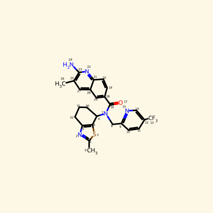 Cc1nc2c(s1)C(N(Cc1ccc(C(F)(F)F)cn1)C(=O)c1ccc3nc(N)c(C)cc3c1)CCC2